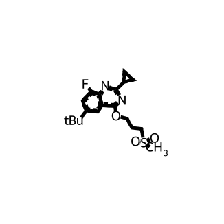 CC(C)(C)c1cc(F)c2nc(C3CC3)nc(OCCCS(C)(=O)=O)c2c1